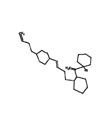 C=CCCC1CCC(/C=C/CCC2CCCCC2C(=C)C2(CC)CCCCC2)CC1